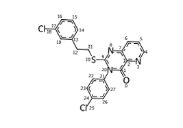 O=c1c2ncccc2nc(SCCc2cccc(Cl)c2)n1-c1ccc(Cl)cc1